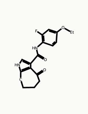 CCOc1ccc(NC(=O)c2c[nH]c3c2C(=O)CCCC3)c(F)c1